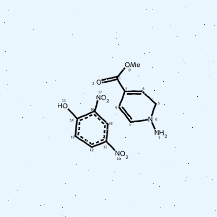 COC(=O)C1=CCN(N)C=C1.O=[N+]([O-])c1ccc(O)c([N+](=O)[O-])c1